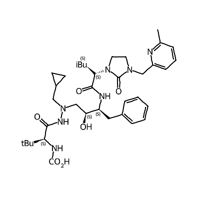 CC[C@H](C)[C@@H](C(=O)N[C@@H](Cc1ccccc1)[C@@H](O)CN(CC1CC1)NC(=O)[C@@H](NC(=O)O)C(C)(C)C)N1CCN(Cc2cccc(C)n2)C1=O